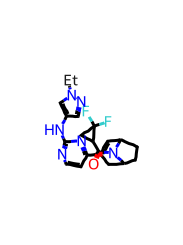 CCn1cc(Nc2nccc(C3=CC4CCC(C3)N4C(=O)C3CC3(F)F)n2)cn1